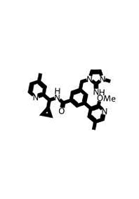 COc1ncc(C)cc1-c1cc(Cn2ccn(C)c2=N)cc(C(=O)NC(c2cc(C)ccn2)C2CC2)c1